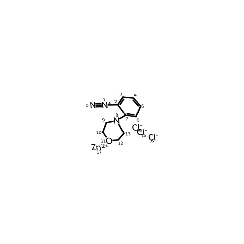 N#[N+]c1ccccc1N1CCOCC1.[Cl-].[Cl-].[Cl-].[Zn+2]